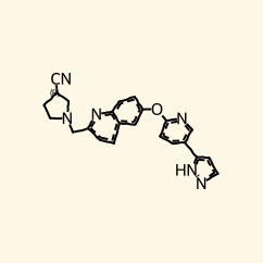 N#C[C@@H]1CCN(Cc2ccc3cc(Oc4ccc(-c5ccn[nH]5)cn4)ccc3n2)C1